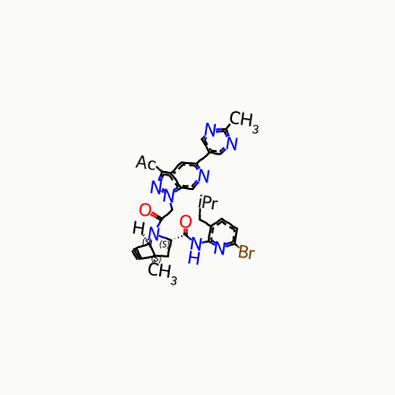 CC(=O)c1nn(CC(=O)N2[C@H](C(=O)Nc3nc(Br)ccc3CC(C)C)C[C@@]3(C)C#C[C@@H]23)c2cnc(-c3cnc(C)nc3)cc12